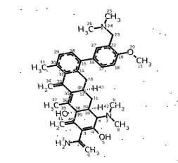 C=C(N)C1=C(O)C(N(C)C)[C@@H]2C[C@@H]3Cc4c(-c5ccc(OC)c(CN(C)C)c5)ccc(C)c4C(=C)C3=C(C)[C@]2(O)C1=C